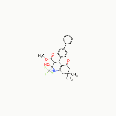 COC(=O)C1C(c2ccc(-c3ccccc3)cc2)C2=C(CC(C)(C)CC2=O)NC1(O)C(F)(F)F